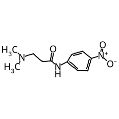 CN(C)CCC(=O)Nc1ccc([N+](=O)[O-])cc1